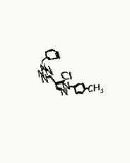 Cc1ccc(-n2ncc(-c3nnn(Cc4ccccc4)n3)c2Cl)cc1